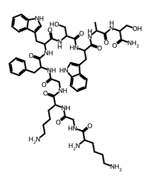 CC(NC(=O)C(Cc1c[nH]c2ccccc12)NC(=O)C(CO)NC(=O)C(Cc1c[nH]c2ccccc12)NC(=O)C(Cc1ccccc1)NC(=O)CNC(=O)C(CCCCN)NC(=O)CNC(=O)C(N)CCCCN)C(=O)NC(CO)C(N)=O